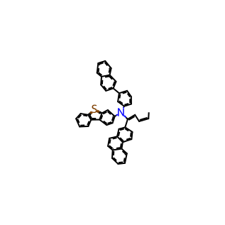 C/C=C\C=C(/c1ccc2c(ccc3ccccc32)c1)N(c1cccc(-c2ccc3ccccc3c2)c1)c1ccc2c(c1)sc1ccccc12